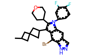 CC1CC2(C1)CC(c1c(C3CCOCC3)n(-c3ccc(F)c(F)c3)c3cc4cn[nH]c4c(Br)c13)C2